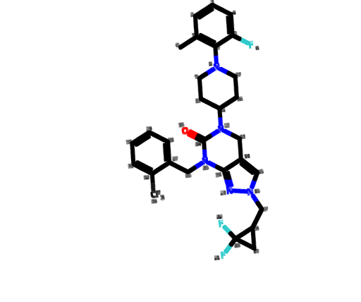 Cc1cccc(F)c1N1CCC(N2Cc3cn(CC4CC4(F)F)nc3N(Cc3ccccc3C(F)(F)F)C2=O)CC1